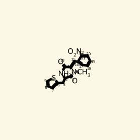 CN1C(=O)C(Cc2cccs2)NC(=O)C1=Cc1ccccc1[N+](=O)[O-]